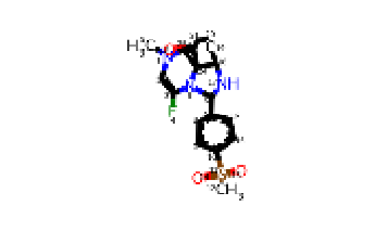 CN1C=C(F)N2C(c3ccc(S(C)(=O)=O)cc3)NC3CCCC(=O)C32C1